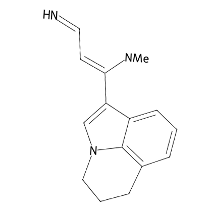 CN/C(=C\C=N)c1cn2c3c(cccc13)CCC2